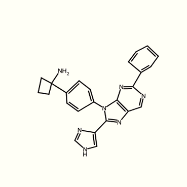 NC1(c2ccc(-n3c(-c4c[nH]cn4)nc4cnc(-c5ccccc5)nc43)cc2)CCC1